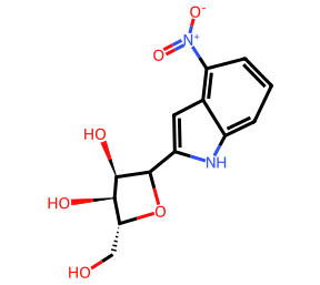 O=[N+]([O-])c1cccc2[nH]c(C3O[C@H](CO)[C@@H](O)[C@H]3O)cc12